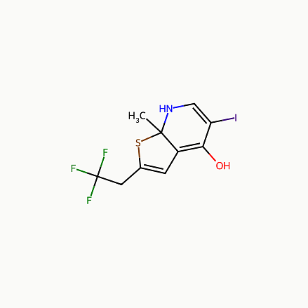 CC12NC=C(I)C(O)=C1C=C(CC(F)(F)F)S2